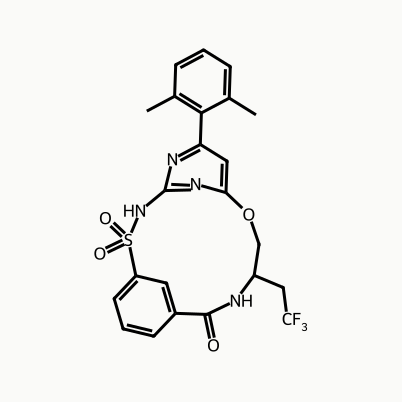 Cc1cccc(C)c1-c1cc2nc(n1)NS(=O)(=O)c1cccc(c1)C(=O)NC(CC(F)(F)F)CO2